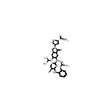 CC(C)Oc1cc2c(cc1Nc1ncc(Cl)c(Nc3ccccc3SC(C)C)n1)C(=O)N(C1CN[C@H](C(N)=O)C1)C2